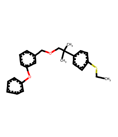 CCSc1ccc(C(C)(C)COCc2cccc(Oc3ccccc3)c2)cc1